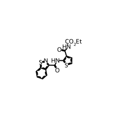 CCOC(=O)NC(=O)c1ccsc1NC(=O)c1nsc2ccccc12